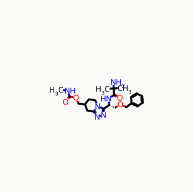 CNC(=O)OCC1CCn2c(nnc2[C@@H](COCc2ccccc2)NC(=O)C(C)(C)N)C1